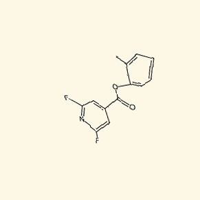 Cc1ccccc1OC(=O)c1cc(F)nc(F)c1